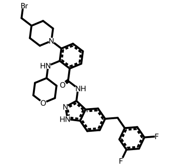 O=C(Nc1n[nH]c2ccc(Cc3cc(F)cc(F)c3)cc12)c1cccc(N2CCC(CBr)CC2)c1NC1CCOCC1